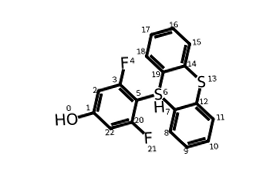 Oc1cc(F)c([SH]2c3ccccc3Sc3ccccc32)c(F)c1